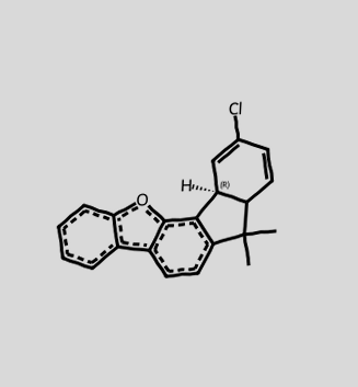 CC1(C)c2ccc3c(oc4ccccc43)c2[C@H]2C=C(Cl)C=CC21